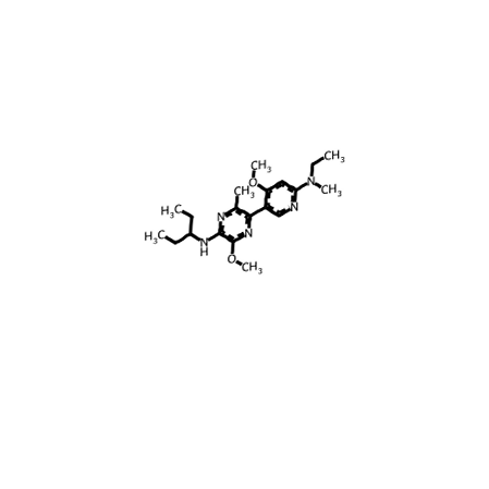 CCC(CC)Nc1nc(C)c(-c2cnc(N(C)CC)cc2OC)nc1OC